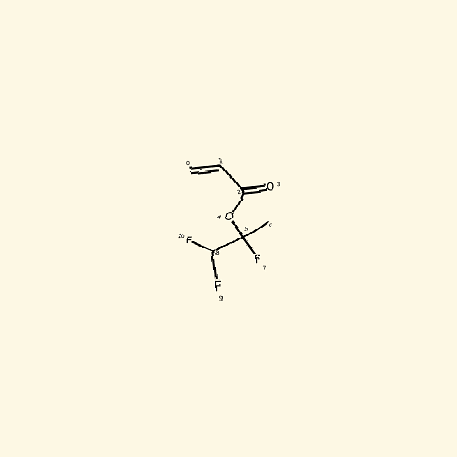 C=CC(=O)OC(C)(F)C(F)F